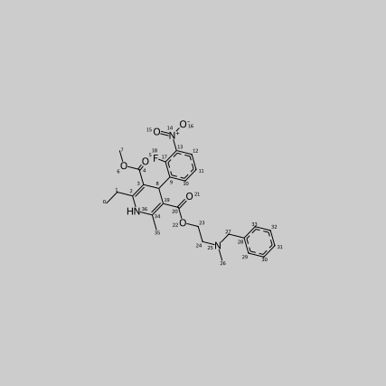 CCC1=C(C(=O)OC)C(c2cccc([N+](=O)[O-])c2F)C(C(=O)OCCN(C)Cc2ccccc2)=C(C)N1